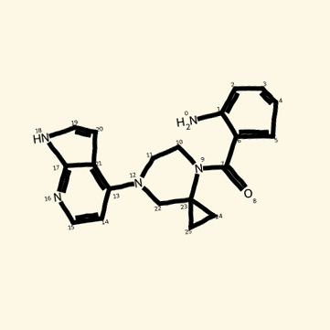 Nc1ccccc1C(=O)N1CCN(c2ccnc3[nH]ccc23)CC12CC2